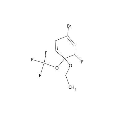 CCOC1(OC(F)(F)F)C=CC(Br)=CC1F